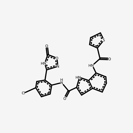 O=C(Nc1ccc(Cl)cc1-c1noc(=O)[nH]1)c1cc2cccc(NC(=O)c3cccs3)c2[nH]1